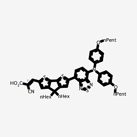 CCCCCCC1(CCCCCC)c2cc(/C=C(\C#N)C(=O)O)sc2-c2sc(-c3ccc(N(c4ccc(OCCCCC)cc4)c4ccc(OCCCCC)cc4)c4nsnc34)cc21